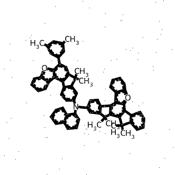 Cc1cc(C)cc(-c2cc3c(c4c2oc2ccccc24)-c2ccc(N(c4ccc5c(c4)C(C)(C)c4c6c(c7oc8ccccc8c7c4-5)-c4ccccc4C6(C)C)c4cccc5ccccc45)cc2C3(C)C)c1